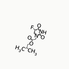 CC(C)COC(=O)Cn1cc(F)c(=O)[nH]c1=O